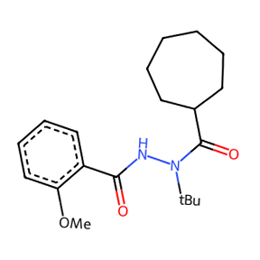 COc1ccccc1C(=O)NN(C(=O)C1CCCCCC1)C(C)(C)C